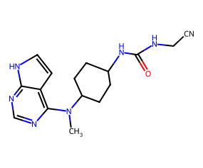 CN(c1ncnc2[nH]ccc12)C1CCC(NC(=O)NCC#N)CC1